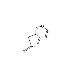 O=C1C=C2C=COC=C2C1